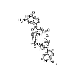 CP1(=O)OC[C@H]2O[C@@H](n3cnc4c(=O)[nH]c(N)nc43)[C@H](O[PH](=O)OC[C@H]3O[C@@H](n4cnc5c(N)ncnc54)[C@H](F)[C@@H]3O1)[C@@H]2O